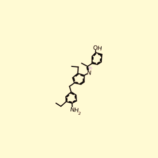 CCc1cc(Cc2ccc(/N=C(\C)c3cccc(O)c3)c(CC)c2)ccc1N